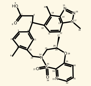 Cc1ccc(C(CC(=O)O)c2ccc3c(nnn3C)c2C)cc1CN1C[C@@H](C)Oc2cccnc2S1(=O)=O